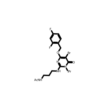 CC(=O)NCCCNc1nc(OCc2ccc(F)cc2F)c(Br)c(=O)n1C(C)C